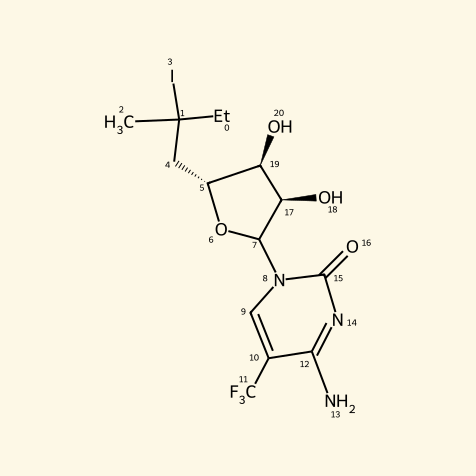 CCC(C)(I)C[C@H]1OC(n2cc(C(F)(F)F)c(N)nc2=O)[C@H](O)[C@@H]1O